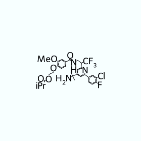 COc1cc(C(=O)NCC(c2cc(C(C)(C)N)cc(-c3ccc(F)c(Cl)c3)n2)C(F)(F)F)ccc1OCCOC(=O)C(C)C